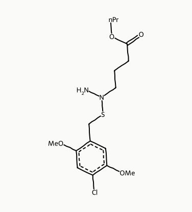 CCCOC(=O)CCCN(N)SCc1cc(OC)c(Cl)cc1OC